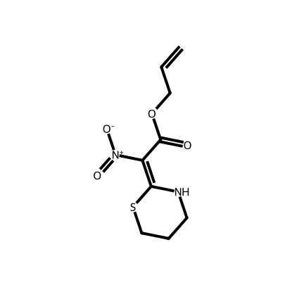 C=CCOC(=O)C(=C1NCCCS1)[N+](=O)[O-]